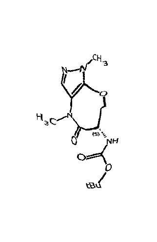 CN1C(=O)[C@@H](NC(=O)OC(C)(C)C)COc2c1cnn2C